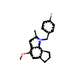 COc1cc2c(c3c1cc(C)n3Cc1ccc(F)cc1)CCC2